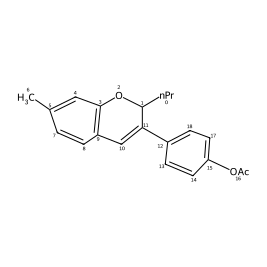 CCCC1Oc2cc(C)ccc2C=C1c1ccc(OC(C)=O)cc1